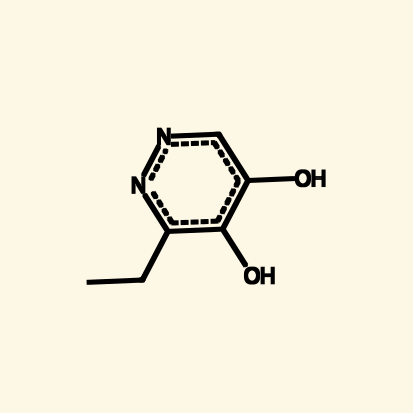 CCc1nncc(O)c1O